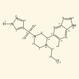 CCn1cc(S(=O)(=O)N2CCN(CCC(F)(F)F)C(c3cc4cn[nH]c4cc3C)C2)cn1